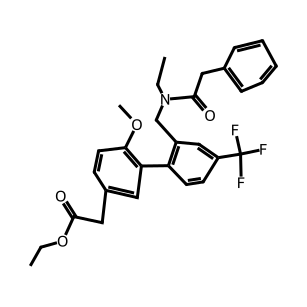 CCOC(=O)Cc1ccc(OC)c(-c2ccc(C(F)(F)F)cc2CN(CC)C(=O)Cc2ccccc2)c1